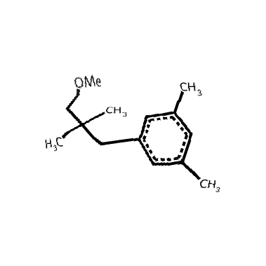 COCC(C)(C)Cc1cc(C)cc(C)c1